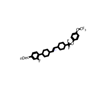 CCCCCCCCCCc1ccc(C2CCC(/C=C/C3CCC(C(F)(F)Oc4ccc(OC(F)(F)F)cc4)CC3)CC2)c(F)c1